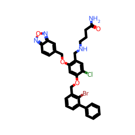 NC(=O)CCCNCc1cc(Cl)c(OCc2cccc(-c3ccccc3)c2Br)cc1OCc1ccc2nonc2c1